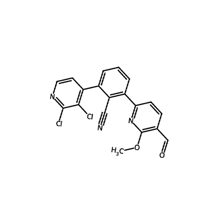 COc1nc(-c2cccc(-c3ccnc(Cl)c3Cl)c2C#N)ccc1C=O